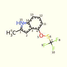 Cc1cc2c(OSC(F)(F)F)cccc2[nH]1